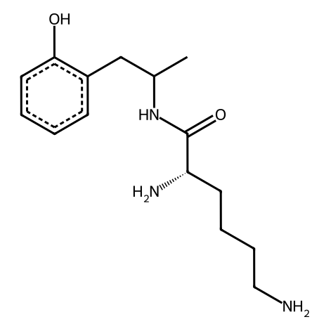 CC(Cc1ccccc1O)NC(=O)[C@@H](N)CCCCN